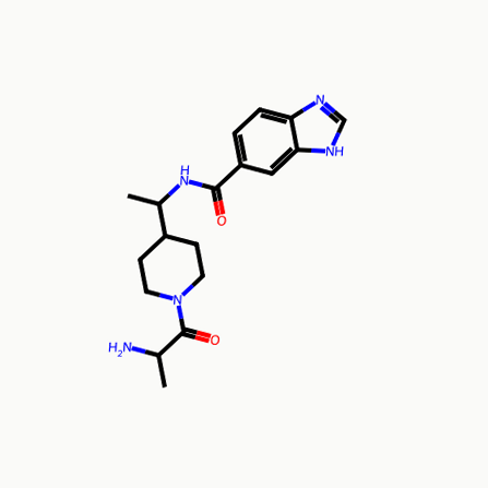 CC(N)C(=O)N1CCC(C(C)NC(=O)c2ccc3nc[nH]c3c2)CC1